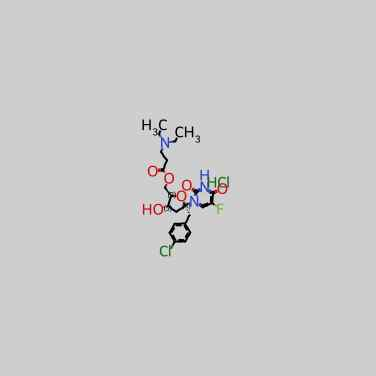 CCN(CC)CCC(=O)OC[C@H]1O[C@@](Cc2ccc(Cl)cc2)(n2cc(F)c(=O)[nH]c2=O)C[C@@H]1O.Cl